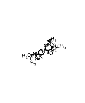 Cc1nc(NC2(C)CC2)c2c(C(=O)N3CCc4c(ncnc4NC(C)C)C3)coc2n1